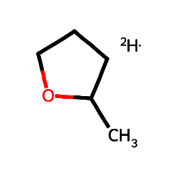 CC1CCCO1.[2H]